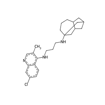 Cc1cnc2cc(Cl)ccc2c1NCCCNC12CCCC3CC(CC3C1)C2